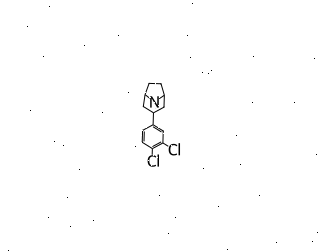 CN1C2CCC1CC(c1ccc(Cl)c(Cl)c1)C2